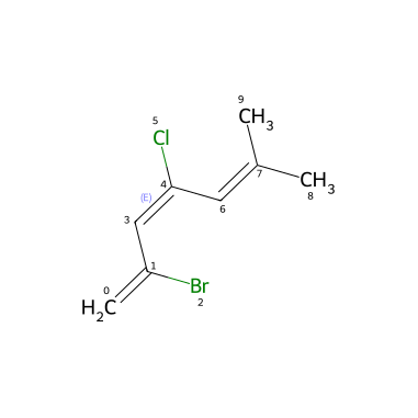 C=C(Br)/C=C(/Cl)C=C(C)C